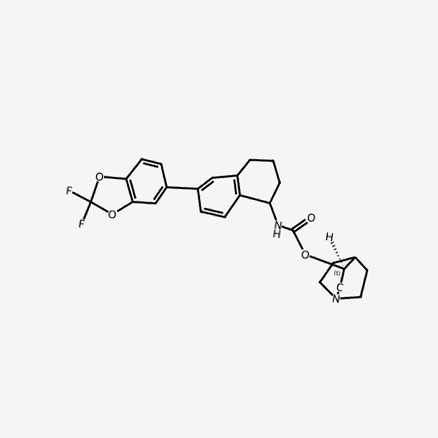 O=C(NC1CCCc2cc(-c3ccc4c(c3)OC(F)(F)O4)ccc21)O[C@@H]1CN2CCC1CC2